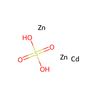 O=S(=O)(O)O.[Cd].[Zn].[Zn]